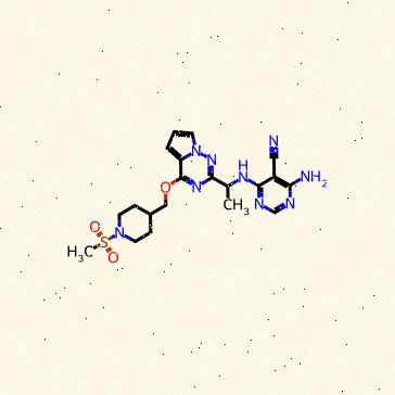 CC(Nc1ncnc(N)c1C#N)c1nc(OCC2CCN(S(C)(=O)=O)CC2)c2cccn2n1